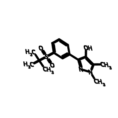 Cc1c(O)c(-c2cccc(S(=O)(=O)C(C)(C)C)c2)nn1C